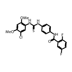 COc1cc(OC)c(NC(=S)Nc2ccc(NC(=O)c3cc(F)ccc3F)cc2)cc1Cl